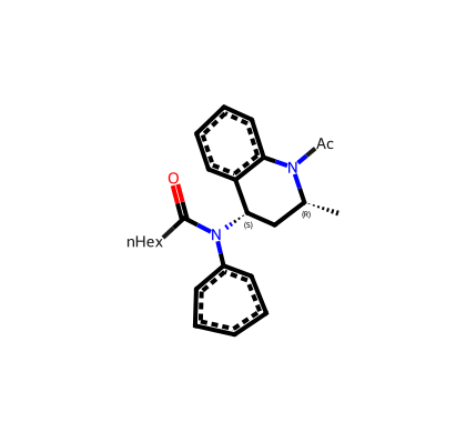 CCCCCCC(=O)N(c1ccccc1)[C@H]1C[C@@H](C)N(C(C)=O)c2ccccc21